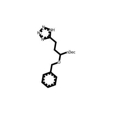 CCCCCCCCCCC(CCc1nnn[nH]1)OCc1ccccc1